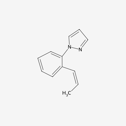 C/C=C\c1ccccc1-n1cccn1